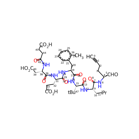 C#CCC[C@@H](C=O)NC(=O)[C@H](CC(C)C)NC(=O)[C@@H](NC(=O)[C@H](Cc1ccccc1C)NC(=O)[C@H](CCC(=O)O)NC(=O)[C@H](CC(=O)O)NC(=O)CCC(=O)O)C(C)(C)C